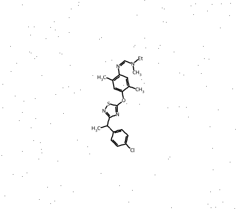 CCN(C)/C=N\c1cc(C)c(Oc2nc(C(C)c3ccc(Cl)cc3)ns2)cc1C